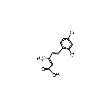 CC(C=Cc1ccc(Cl)cc1Cl)=CC(=O)O